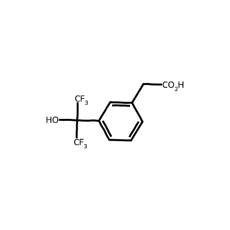 O=C(O)Cc1cccc(C(O)(C(F)(F)F)C(F)(F)F)c1